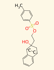 Cc1ccc(S(=O)(=O)OCCC2(O)CC3CCC2c2ccccc23)cc1